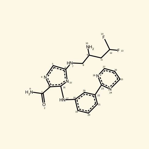 NC(=O)c1ncc(NCC(N)CC(F)F)nc1Nc1cccc(-c2ncccn2)c1